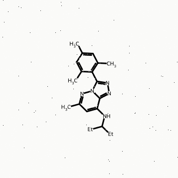 CCC(CC)Nc1cc(C)nn2c(-c3c(C)cc(C)cc3C)nnc12